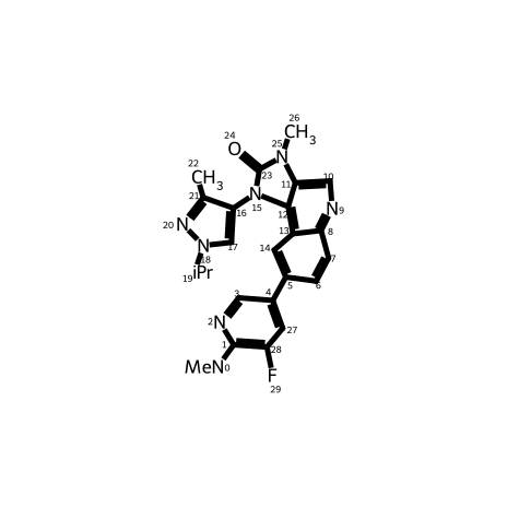 CNc1ncc(-c2ccc3ncc4c(c3c2)n(-c2cn(C(C)C)nc2C)c(=O)n4C)cc1F